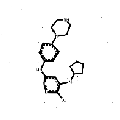 CC(=O)c1nnc(Nc2ccc(N3CCNCC3)cc2)cc1NC1CCCC1